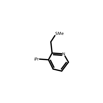 CSCc1ncccc1C(C)C